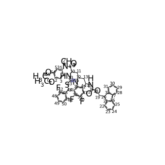 COc1ccc(N(C)C(=O)C(CCCCNC(=O)OCC2c3ccccc3-c3ccccc32)N/C(=N/c2ccc(F)cc2)SCc2c(F)cccc2F)cc1OC